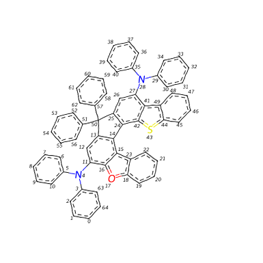 c1ccc(N(c2ccccc2)c2cc3c(c4c2oc2ccccc24)-c2c(cc(N(c4ccccc4)c4ccccc4)c4c2sc2ccccc24)C3(c2ccccc2)c2ccccc2)cc1